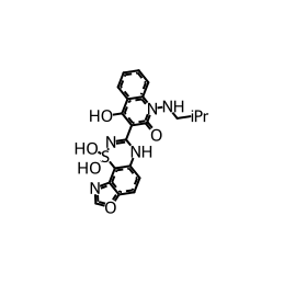 CC(C)CNn1c(=O)c(C2=NS(O)(O)c3c(ccc4ocnc34)N2)c(O)c2ccccc21